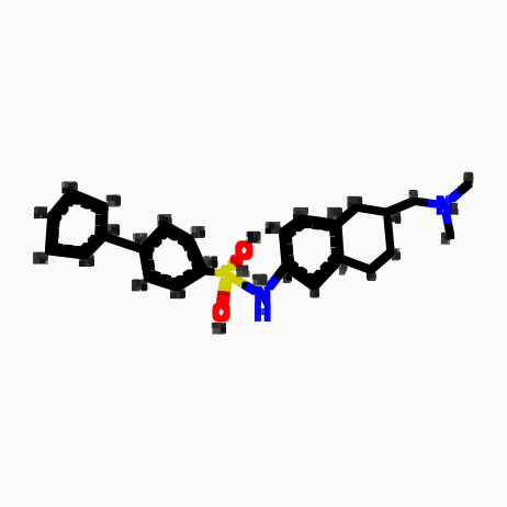 CN(C)CC1CCc2cc(NS(=O)(=O)c3ccc(-c4ccccc4)cc3)ccc2C1